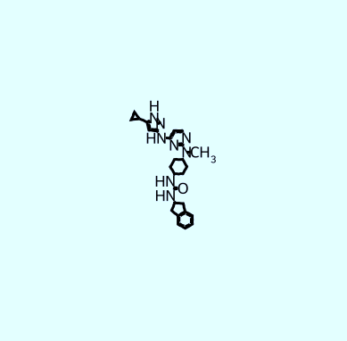 CN(c1nccc(Nc2cc(C3CC3)[nH]n2)n1)[C@H]1CC[C@H](NC(=O)NC2Cc3ccccc3C2)CC1